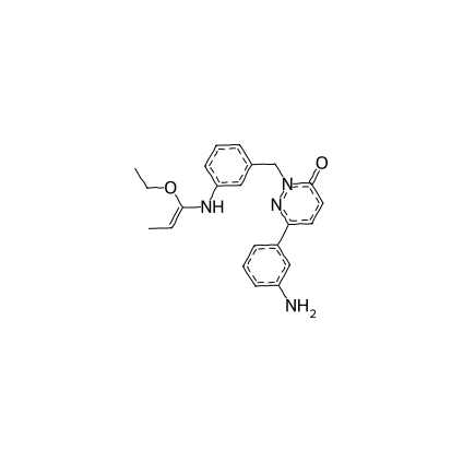 C/C=C(/Nc1cccc(Cn2nc(-c3cccc(N)c3)ccc2=O)c1)OCC